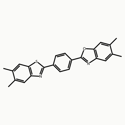 Cc1cc2nc(-c3ccc(-c4nc5cc(C)c(C)cc5s4)cc3)oc2cc1C